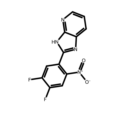 O=[N+]([O-])c1cc(F)c(F)cc1-c1nc2cccnc2[nH]1